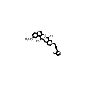 COc1ccc2ncc(Cl)c([C@H](O)CCC3CCN(CC#Cc4sccc4F)CC3C(=O)O)c2c1